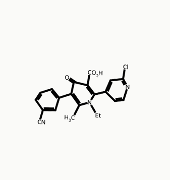 CCn1c(C)c(-c2cccc(C#N)c2)c(=O)c(C(=O)O)c1-c1ccnc(Cl)c1